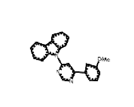 COc1cccc(-c2cc(-n3c4ccccc4c4ccccc43)ncn2)c1